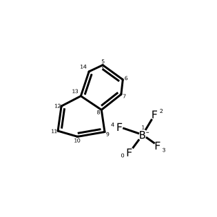 F[B-](F)(F)F.[c]1ccc2ccccc2c1